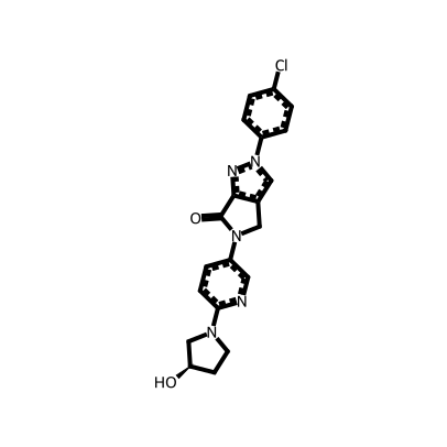 O=C1c2nn(-c3ccc(Cl)cc3)cc2CN1c1ccc(N2CC[C@@H](O)C2)nc1